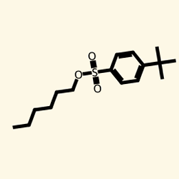 CCCCCCOS(=O)(=O)c1ccc(C(C)(C)C)cc1